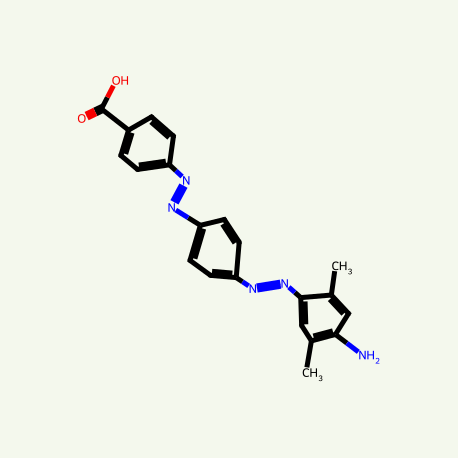 Cc1cc(N=Nc2ccc(N=Nc3ccc(C(=O)O)cc3)cc2)c(C)cc1N